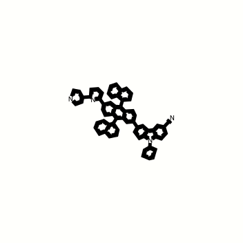 N#Cc1ccc2c(c1)c1cc(-c3ccc4c(-c5cccc6ccccc56)c5cc(-c6cccc(-c7ccncc7)n6)ccc5c(-c5cccc6ccccc56)c4c3)ccc1n2-c1ccccc1